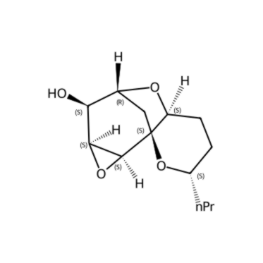 CCC[C@H]1CC[C@@H]2O[C@@H]3C[C@@]2(O1)[C@H]1O[C@H]1[C@H]3O